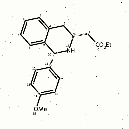 CCOC(=O)C[C@H]1Cc2ccccc2[C@@H](c2ccc(OC)cc2)N1